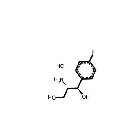 Cl.N[C@@H](CO)[C@H](O)c1ccc(F)cc1